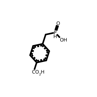 O=C(O)c1ccc(C[PH](=O)O)cc1